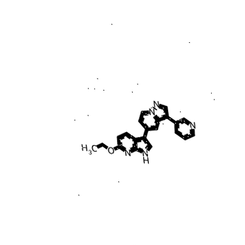 CCOc1ccc2c(-c3ccn4ncc(-c5cccnc5)c4c3)c[nH]c2n1